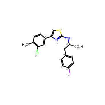 Cc1ccc(-c2csc(NC(Cc3ccc(I)cc3)C(=O)O)n2)cc1Cl